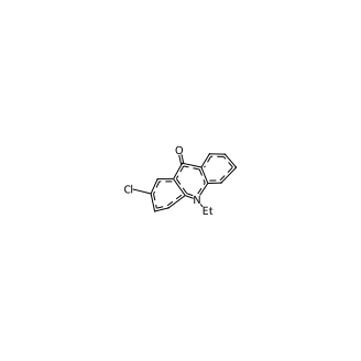 CCn1c2ccccc2c(=O)c2cc(Cl)ccc21